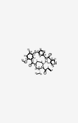 C=CC(=O)N1CCCN(C(=O)c2cc(Sc3cnc(NC(=O)c4cnsc4)s3)c(C)cc2OC)C[C@H]1CC